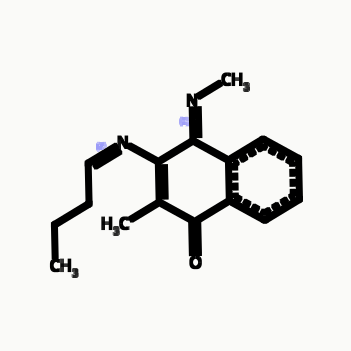 CCC/C=N\C1=C(C)C(=O)c2ccccc2/C1=N\C